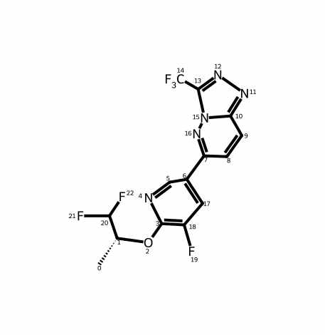 C[C@@H](Oc1ncc(-c2ccc3nnc(C(F)(F)F)n3n2)cc1F)C(F)F